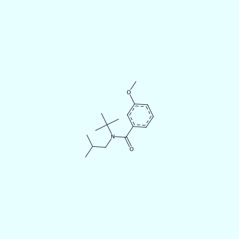 COc1cccc(C(=O)N(CC(C)C)C(C)(C)C)c1